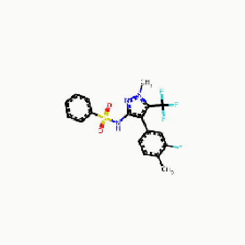 Cc1ccc(-c2c(NS(=O)(=O)c3ccccc3)nn(C)c2C(F)(F)F)cc1F